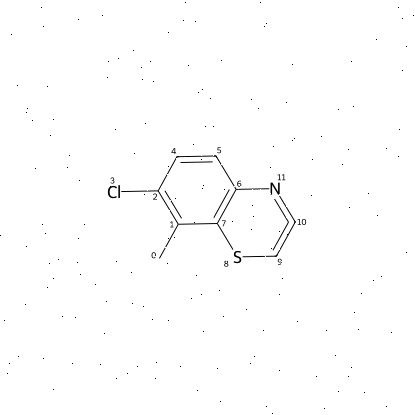 Cc1c(Cl)ccc2c1SC=C=N2